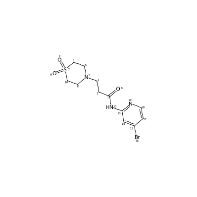 O=C(CCN1CCS(=O)(=O)CC1)Nc1cc(Br)ccn1